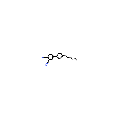 CCCCCCc1ccc(-c2ccc(C#N)c(C#N)c2)cc1